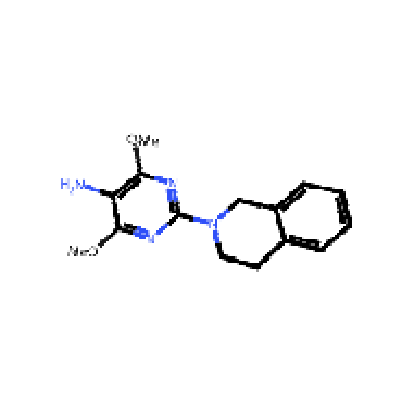 COc1nc(N2CCc3ccccc3C2)nc(OC)c1N